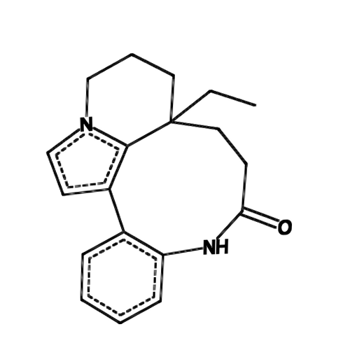 CCC12CCCn3ccc(c31)-c1ccccc1NC(=O)CC2